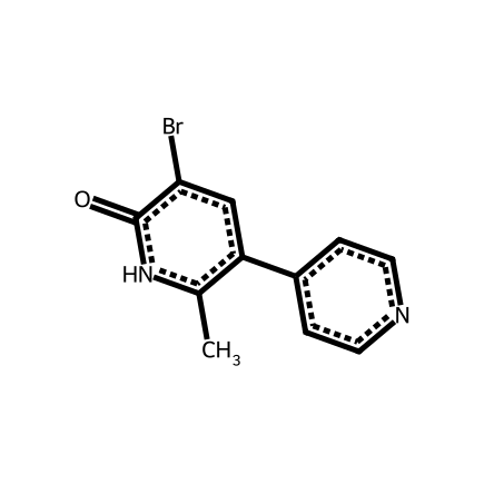 Cc1[nH]c(=O)c(Br)cc1-c1ccncc1